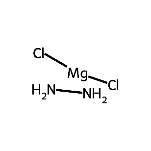 NN.[Cl][Mg][Cl]